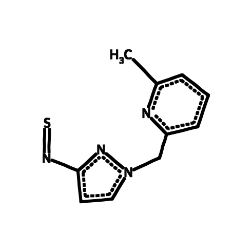 Cc1cccc(Cn2ccc(N=S)n2)n1